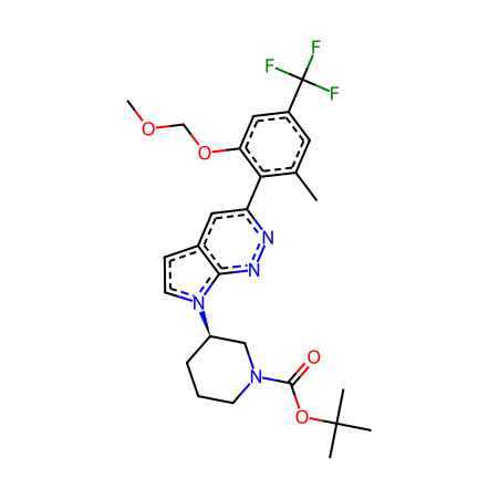 COCOc1cc(C(F)(F)F)cc(C)c1-c1cc2ccn([C@@H]3CCCN(C(=O)OC(C)(C)C)C3)c2nn1